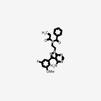 C=CC(=O)N(CCn1nc(-c2cc(F)cc(OC)c2)c2c(N)ncnc21)C(=O)c1ccccc1